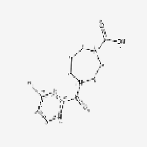 O=C(O)N1CCCN(C(=O)c2cc(I)ccn2)CC1